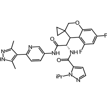 Cc1n[nH]c(C)c1-c1ccc(NC(=O)[C@@H](NC(=O)c2ccnn2C(C)C)C2c3c(F)cc(F)cc3OCC23CC3)cn1